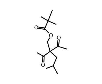 CC(=O)C(COC(=O)C(C)(C)C)(CC(C)C)C(C)=O